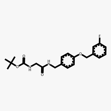 CC(C)(C)OC(=O)NCC(=O)NCc1ccc(OCc2cccc(F)c2)cc1